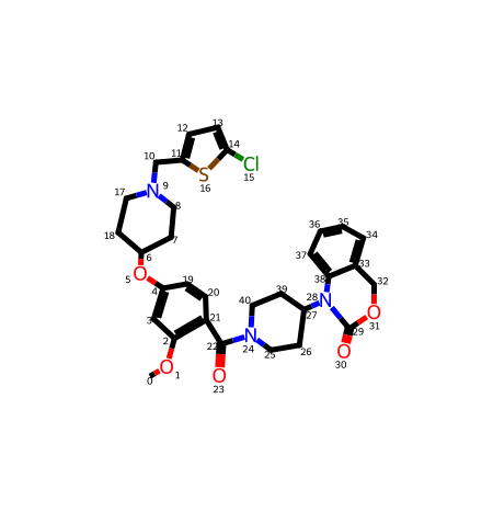 COc1cc(OC2CCN(Cc3ccc(Cl)s3)CC2)ccc1C(=O)N1CCC(N2C(=O)OCc3ccccc32)CC1